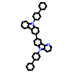 c1ccc(-c2ccc(-n3c4ccccc4c4cc(-c5ccc6c(c5)c5ncccc5n6-c5ccc(-c6ccccc6)cc5)ccc43)cc2)cc1